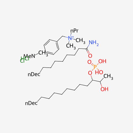 CCCCCCCCCCCCCCCCCC(N)=O.CCCCCCCCCCCCCCCCCCC(OP(=O)(O)O)C(C)O.CCC[N+](C)(C)Cc1ccccc1.CNC.Cl.[Cl-]